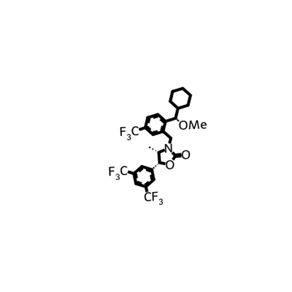 CO[C@H](c1ccc(C(F)(F)F)cc1CN1C(=O)O[C@H](c2cc(C(F)(F)F)cc(C(F)(F)F)c2)[C@@H]1C)C1CCCCC1